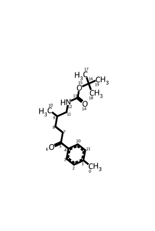 Cc1ccc(C(=O)CCC(C)CNC(=O)OC(C)(C)C)cc1